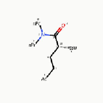 CCCN(CCC)C(=O)[C@@H](CCC(C)=O)C(C)(C)C